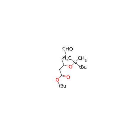 CC(C)(C)OC(=O)CC(CCC=O)O[Si](C)(C)C(C)(C)C